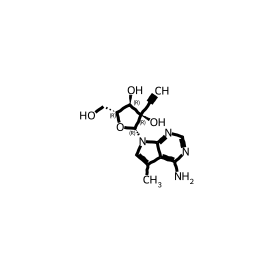 C#C[C@@]1(O)[C@H](O)[C@@H](CO)O[C@H]1n1cc(C)c2c(N)ncnc21